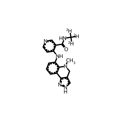 [2H]C([2H])([2H])NC(=O)c1cnccc1Nc1cccc2c1N(C)Cc1c[nH]nc1-2